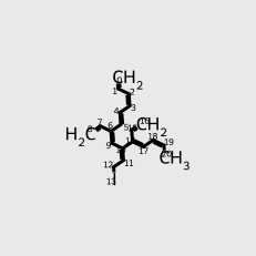 C=C\C=C/C=C/C(C=C)=C\C(=C/CI)C(\C=C)=C\C=C/C